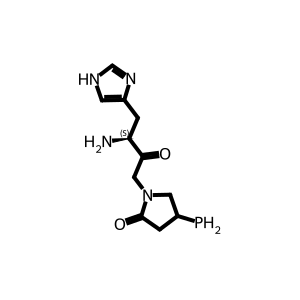 N[C@@H](Cc1c[nH]cn1)C(=O)CN1CC(P)CC1=O